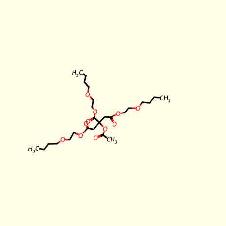 CCCCOCCOC(=O)CC(CC(=O)OCCOCCCC)(OC(C)=O)C(=O)OCCOCCCC